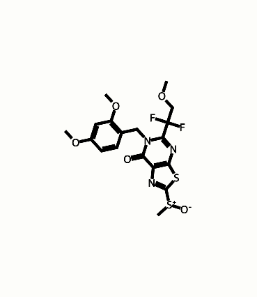 COCC(F)(F)c1nc2sc([S+](C)[O-])nc2c(=O)n1Cc1ccc(OC)cc1OC